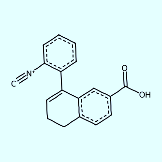 [C-]#[N+]c1ccccc1C1=CCCc2ccc(C(=O)O)cc21